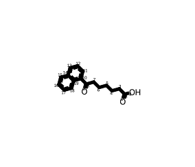 O=C(O)CCCCCC(=O)c1cccc2ccccc12